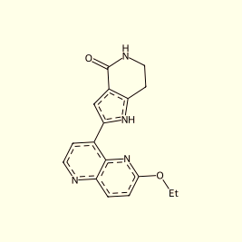 CCOc1ccc2nccc(-c3cc4c([nH]3)CCNC4=O)c2n1